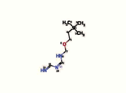 C[Si](C)(C)CCOCN/C=N\C=N